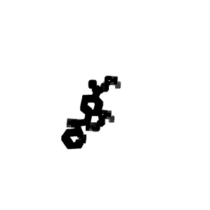 CCO.COC(=O)c1ccc(CNc2ccccn2)cc1